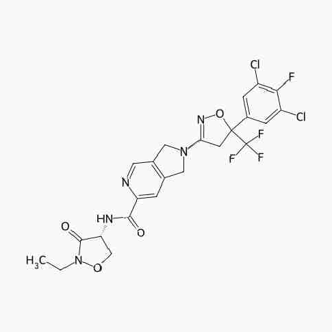 CCN1OC[C@@H](NC(=O)c2cc3c(cn2)CN(C2=NOC(c4cc(Cl)c(F)c(Cl)c4)(C(F)(F)F)C2)C3)C1=O